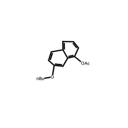 CCCCOc1ccc2cccc(OC(C)=O)c2c1